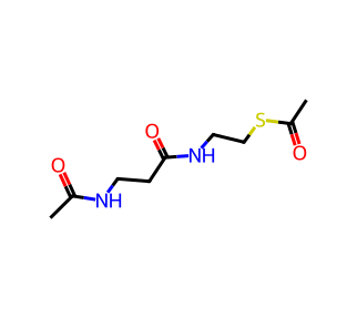 CC(=O)NCCC(=O)NCCSC(C)=O